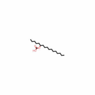 CCCCCCCCCCCC(CCCCC)OC(=O)O